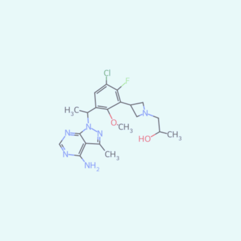 COc1c(C(C)n2nc(C)c3c(N)ncnc32)cc(Cl)c(F)c1C1CN(CC(C)O)C1